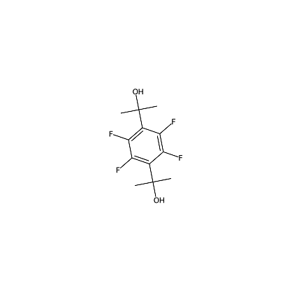 CC(C)(O)c1c(F)c(F)c(C(C)(C)O)c(F)c1F